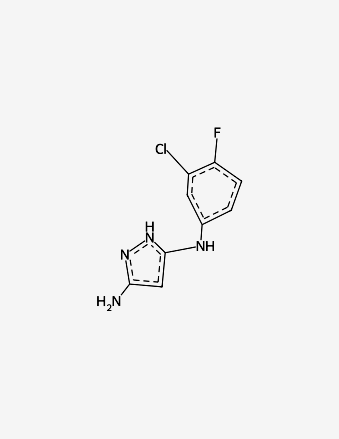 Nc1cc(Nc2ccc(F)c(Cl)c2)[nH]n1